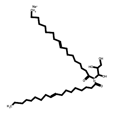 CCCCCCCCC=CCCCCCCCC(=O)[PH-](C(=O)CCCCCCCC=CCCCCCCCC)C(O)C(O)CO.[Na+]